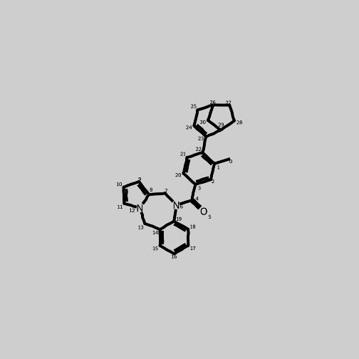 Cc1cc(C(=O)N2Cc3cccn3Cc3ccccc32)ccc1C1=CCC2CCC1C2